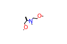 C=C(COC)N(C)CCOC